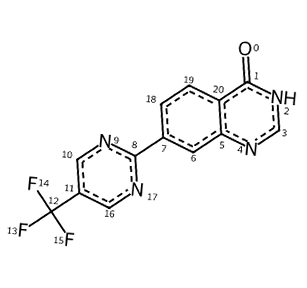 O=c1[nH]cnc2cc(-c3ncc(C(F)(F)F)cn3)ccc12